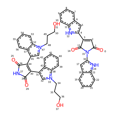 O=C1C=C(c2cc3ccccc3[nH]2)C(=O)N1c1cc2ccccc2[nH]1.O=C1NC(=O)C(c2cn(CCCO)c3ccccc23)=C1c1cn(CCCO)c2ccccc12